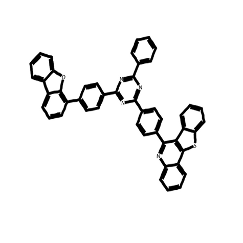 c1ccc(-c2nc(-c3ccc(-c4cccc5c4oc4ccccc45)cc3)nc(-c3ccc(-c4nc5ccccc5c5sc6ccccc6c45)cc3)n2)cc1